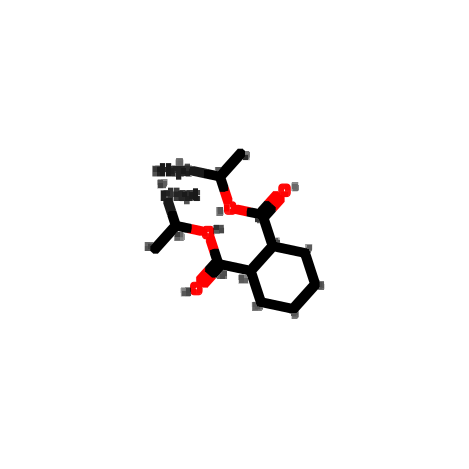 CCCCCCCC(C)OC(=O)C1CCCCC1C(=O)OC(C)CCCCCCC